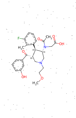 COCCN1C[C@H](C(=O)c2cccc(O)c2)[C@@H](c2cccc(F)c2C)[C@H](N(CC(=O)O)C(C)=O)C1